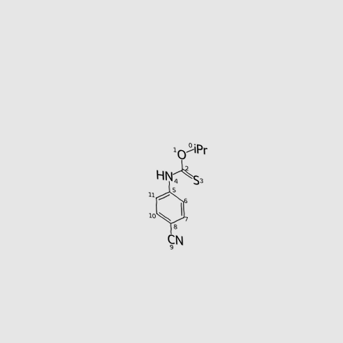 CC(C)OC(=S)Nc1ccc(C#N)cc1